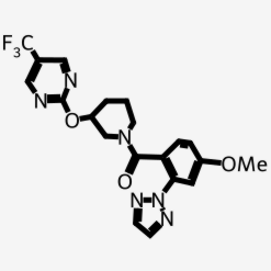 COc1ccc(C(=O)N2CCCC(Oc3ncc(C(F)(F)F)cn3)C2)c(-n2nccn2)c1